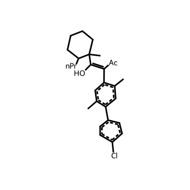 CCCC1CCCCC1(C)/C(O)=C(\C(C)=O)c1cc(C)c(-c2ccc(Cl)cc2)cc1C